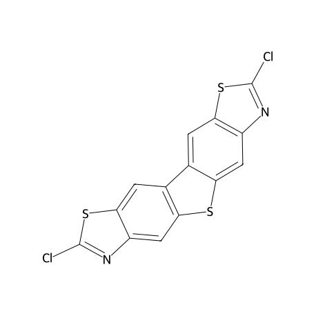 Clc1nc2cc3sc4cc5nc(Cl)sc5cc4c3cc2s1